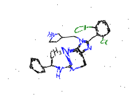 C[C@@H](Nc1ncc2nc(-c3c(Cl)cccc3Cl)n(CC3CCNC3)c2n1)c1ccccc1